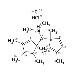 CC1=C[C](C)([Zr]([SiH](C)C)[C]2(C)C=CC(C)=C2C)C(C)=C1C.Cl.Cl